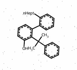 CCCCCCCc1ccccc1-c1cccc(O)c1C(C)(C)c1ccccc1